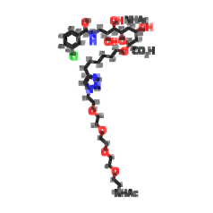 CC(=O)NCCOCCOCCOCCOCCn1cc(CCCCCCO[C@]2(C(=O)O)C[C@H](O)[C@@H](NC(C)=O)[C@H]([C@H](O)[C@H](O)CNC(=O)c3cccc(Cl)c3)O2)nn1